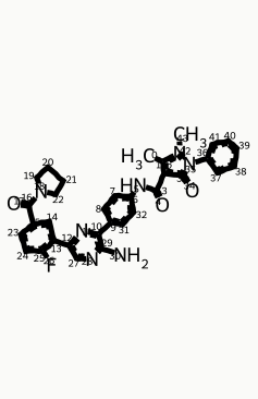 Cc1c(C(=O)Nc2ccc(-c3nc(-c4cc(C(=O)N5CCCC5)ccc4F)cnc3N)cc2)c(=O)n(-c2ccccc2)n1C